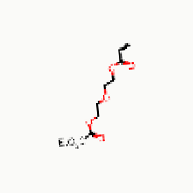 C=CC(=O)OCCOCCOC(=O)C(=O)OCC